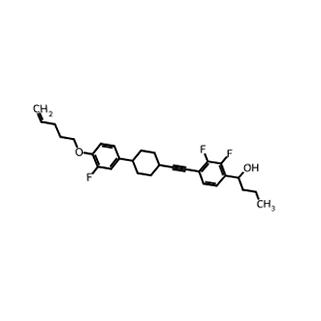 C=CCCCOc1ccc(C2CCC(C#Cc3ccc(C(O)CCC)c(F)c3F)CC2)cc1F